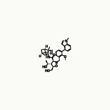 COc1c(CN2O[C@@H](CO)[C@H]([C@H](C)O)[C@H]2C(=O)N[C@H]2C[C@H]3C[C@@H]([C@@H]2C)C3(C)C)cccc1-c1cccc2c1ccn2C